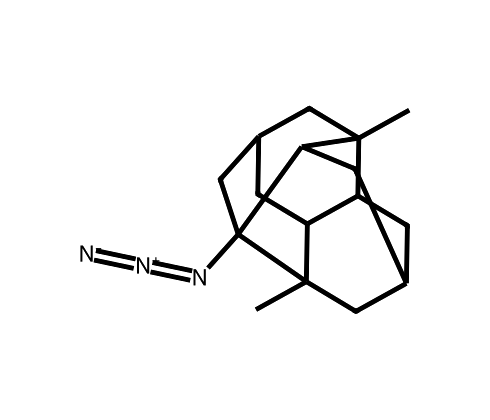 CC12CC3CC4C1CC1CC2C(N=[N+]=[N-])(C3)C4(C)C1